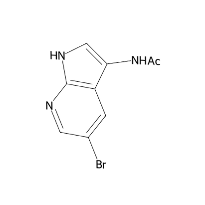 CC(=O)Nc1c[nH]c2ncc(Br)cc12